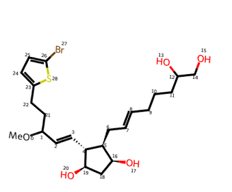 COC(C=C[C@@H]1[C@@H](CC=CCCCC(O)CO)[C@@H](O)C[C@H]1O)CCc1ccc(Br)s1